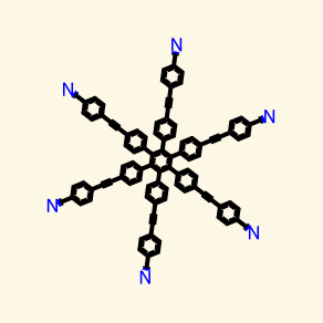 N#Cc1ccc(C#Cc2ccc(-c3c(-c4ccc(C#Cc5ccc(C#N)cc5)cc4)c(-c4ccc(C#Cc5ccc(C#N)cc5)cc4)c(-c4ccc(C#Cc5ccc(C#N)cc5)cc4)c(-c4ccc(C#Cc5ccc(C#N)cc5)cc4)c3-c3ccc(C#Cc4ccc(C#N)cc4)cc3)cc2)cc1